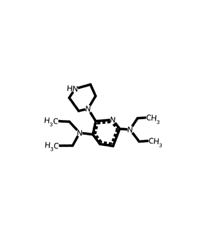 CCN(CC)c1ccc(N(CC)CC)c(N2CCNCC2)n1